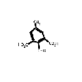 Cc1cc(C(=O)O)c(C=O)c(C(=O)O)c1